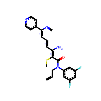 C=CCN(C(=O)/C(SC)=C(N)/C=C/C=C(\N=C)c1ccncc1)c1cc(F)cc(F)c1